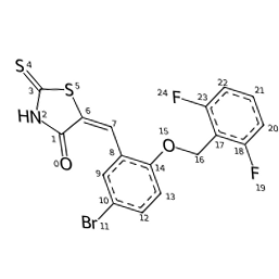 O=C1NC(=S)S/C1=C/c1cc(Br)ccc1OCc1c(F)cccc1F